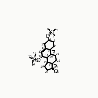 C[C@]12CC[C@H](O[Si](C)(C)C)CC1=C[C@H](O[Si](C)(C)C)C1C2CC[C@]2(C)C(=O)CCC12